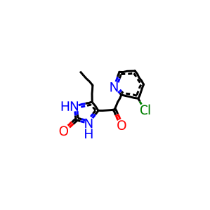 CCc1[nH]c(=O)[nH]c1C(=O)c1ncccc1Cl